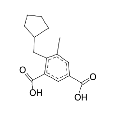 Cc1cc(C(=O)O)cc(C(=O)O)c1CC1CCCC1